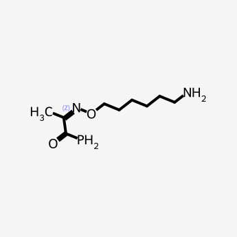 C/C(=N/OCCCCCCN)C(=O)P